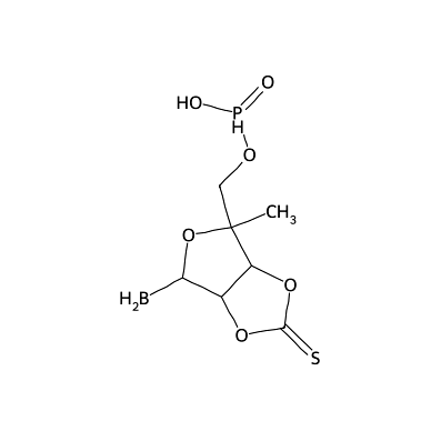 BC1OC(C)(CO[PH](=O)O)C2OC(=S)OC12